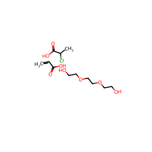 C=CC(=O)O.CC(Cl)C(=O)O.OCCOCCOCCO